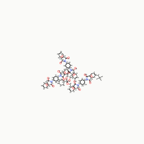 CC(C)(C)CC1=CC2OC1C1C(=O)N(c3ccc(N4C(=O)C5C6C=CC(CO[Si](OCC78C=CC(O7)C7C(=O)N(c9ccc(N%10C(=O)C%11C%12C=CC(O%12)C%11C%10=O)cc9)C(=O)C78)(OCC78C=CC(O7)C7C(=O)N(c9ccc(N%10C(=O)C%11C%12C=CC(O%12)C%11C%10=O)cc9)C(=O)C78)C7CCCCC7)(O6)C5C4=O)cc3)C(=O)C21